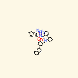 CCC[C@H](C(N)=O)[C@@H](CC1CC1)C(=O)NC1C(=O)N(Cc2cccc(-c3ccc4ccccc4c3)c2)c2ccccc2-c2ccccc21